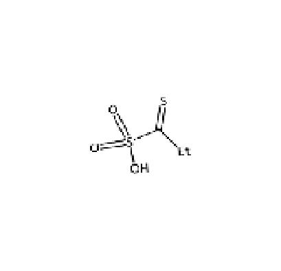 CCC(=S)S(=O)(=O)O